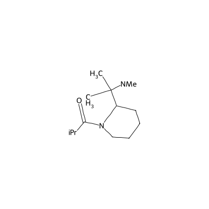 CNC(C)(C)C1CCCCN1C(=O)C(C)C